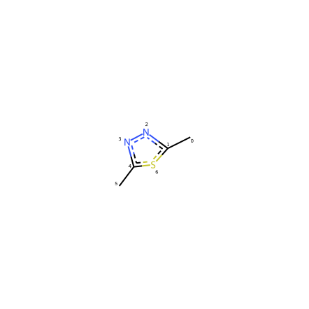 Cc1nnc(C)s1